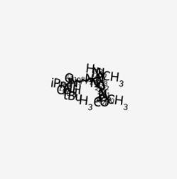 Cc1nnc2c(NCCCCNC(=O)[C@@H](NC(=O)C(C)(C)C)C(C)C)nc3cc(N4CC(C)OC(C)C4)ccc3n12